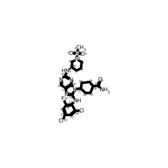 CS(=O)(=O)N1CCC[C@@H](Nc2ncc3nc(Nc4c(F)cc(Cl)cc4Cl)n(C4CCC(C(N)=O)CC4)c3n2)C1